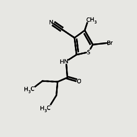 CCC(CC)C(=O)Nc1sc(Br)c(C)c1C#N